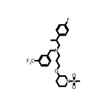 CC(CN(CCCOC1CCCN(S(C)(=O)=O)C1)Cc1cccc(C(F)(F)F)c1)c1ccc(F)cc1